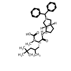 CC(C[C@@H](C(=O)N[C@@H]1CC[C@H]2CN(C(c3ccccc3)c3ccccc3)C[C@H]21)N(C)C(=O)O)CC(C)(C)C